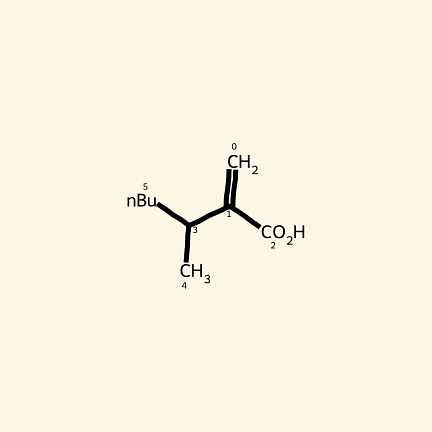 C=C(C(=O)O)C(C)CCCC